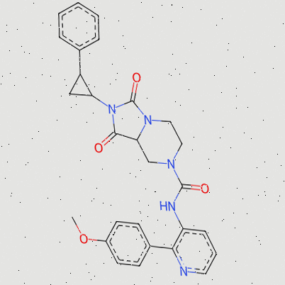 COc1ccc(-c2ncccc2NC(=O)N2CCN3C(=O)N(C4CC4c4ccccc4)C(=O)C3C2)cc1